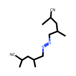 CC(C#N)CC(C)CN=NCC(C)CC(C)C#N